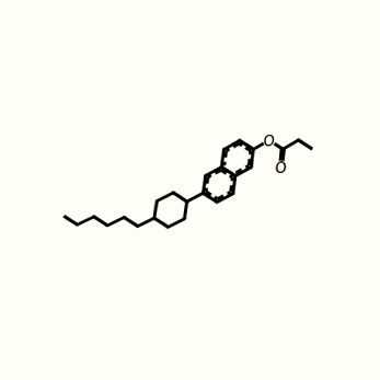 CCCCCCC1CCC(c2ccc3cc(OC(=O)CC)ccc3c2)CC1